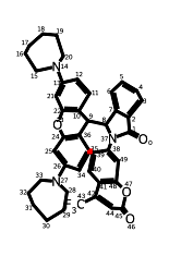 O=C1c2ccccc2C(C2c3ccc(N4CCCCCC4)cc3Oc3cc(N4CCCCCC4)ccc32)N1c1ccc2c(C(F)(F)F)cc(=O)oc2c1